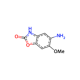 COc1cc2oc(=O)[nH]c2cc1N